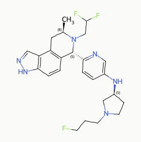 C[C@@H]1Cc2c(ccc3[nH]ncc23)[C@@H](c2ccc(N[C@H]3CCN(CCCF)C3)cn2)N1CC(F)F